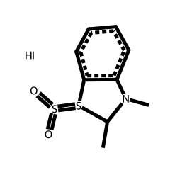 CC1N(C)c2ccccc2S1=S(=O)=O.I